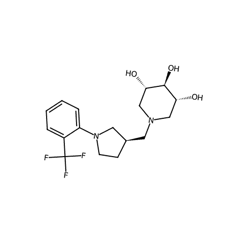 O[C@H]1[C@H](O)CN(C[C@H]2CCN(c3ccccc3C(F)(F)F)C2)C[C@@H]1O